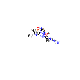 CCc1cc(Nc2ncc(Br)c(Nc3ccc4nc(C)ccc4c3P(C)(C)=O)n2)c(OC2CC2)cc1N1CCC(N2CCNCC2)CC1